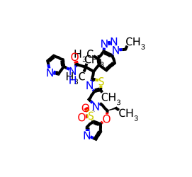 CC[C@@H]1CN(Cc2nc(C(c3ccc4c(nnn4CC)c3C)C(C)(C)C(=O)Nc3cccnc3)sc2C)S(=O)(=O)c2cnccc2O1